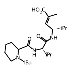 CCC(C)N1CCCCC1C(=O)N[C@H](C(=O)N[C@H](/C=C(\C)C(=O)O)C(C)C)C(C)C